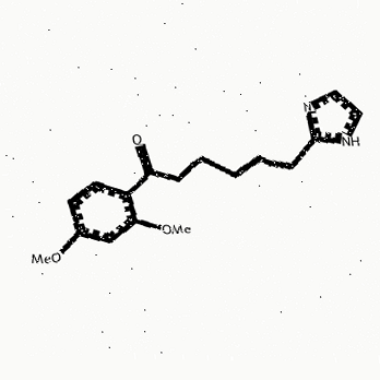 COc1ccc(C(=O)CCCCCc2ncc[nH]2)c(OC)c1